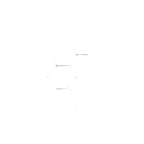 O=C(O)C1C[NH+]([O-])CCC1=O